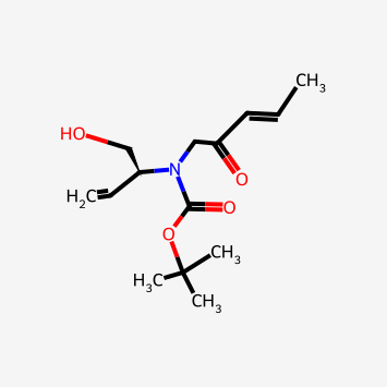 C=C[C@@H](CO)N(CC(=O)/C=C/C)C(=O)OC(C)(C)C